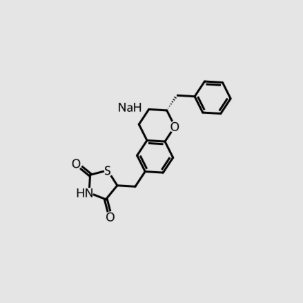 O=C1NC(=O)C(Cc2ccc3c(c2)CC[C@H](Cc2ccccc2)O3)S1.[NaH]